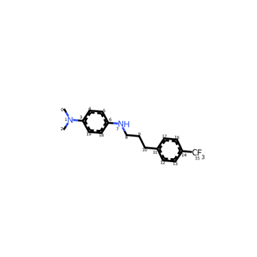 CN(C)c1ccc(NCCCc2ccc(C(F)(F)F)cc2)cc1